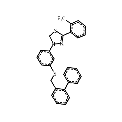 FC(F)(F)c1ccccc1C1=NN(c2cccc(SCc3ccccc3-c3ccccc3)c2)[CH]S1